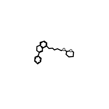 C1=C(c2ccccc2)CCc2cccc(CCCCCOC3CCCCO3)c21